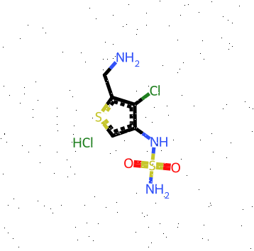 Cl.NCc1scc(NS(N)(=O)=O)c1Cl